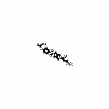 CCOCCC(=O)N1CC2=C(C1)CN(S(=O)(=O)c1ccc(OC(C)P)cc1)C2